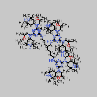 COC(C)CN(c1nc(NCCCCC(CCCNc2nc(N(CC(C)OC)C3CC(C)(C)NC(C)(C)C3)nc(N(CC(C)OC)C3CC(C)(C)NC(C)(C)C3)n2)CNc2nc(N(CC(C)OC)C3CC(C)(C)NC(C)(C)C3)nc(N(CC(C)OC)C3CC(C)(C)NC(C)(C)C3)n2)nc(N(CC(C)OC)C2CC(C)(C)NC(C)(C)C2)n1)C1CC(C)(C)NC(C)(C)C1